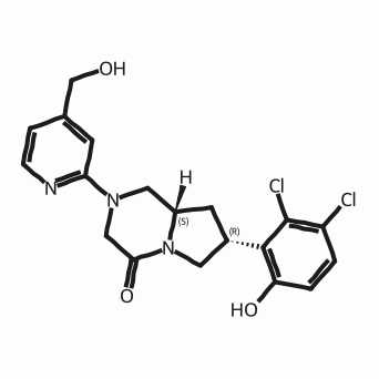 O=C1CN(c2cc(CO)ccn2)C[C@@H]2C[C@H](c3c(O)ccc(Cl)c3Cl)CN12